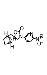 O=C1O[C@@]2(C[C@H]3CC[C@@H](C2)N3)CN1c1ccc([N+](=O)[O-])nc1